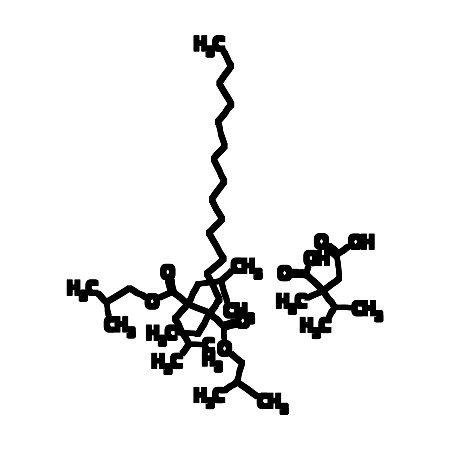 CC(C)C(C)(CC(=O)O)C(=O)O.CCCCCCCCCCCCCCC(CC)(C(=O)OCC(C)C)C(CC(C)C)(CC(C)C)C(=O)OCC(C)C